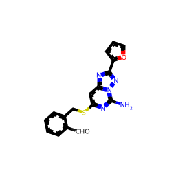 Nc1nc(SCc2ccccc2C=O)cc2nc(-c3ccco3)nn12